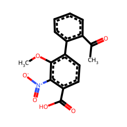 COc1c(-c2ccccc2C(C)=O)ccc(C(=O)O)c1[N+](=O)[O-]